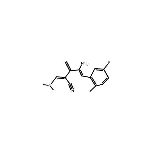 C=C(/C(N)=C/c1cc(F)ccc1C)/C(C#N)=C/N(C)C